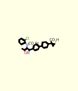 CCOC(=O)N(c1ccccc1Cl)c1c(-c2ccc(-c3ccc(C4(C(=O)O)CC4)cc3)cc2)noc1C